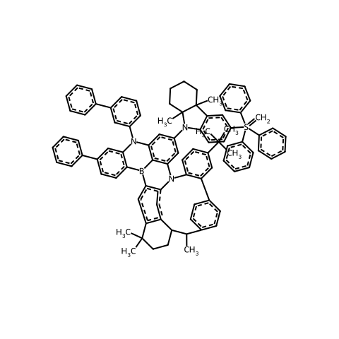 C=S(c1ccccc1)(c1ccccc1)(c1ccccc1)c1ccc2c(c1)C1(C)CCCCC1(C)N2c1cc2c3c(c1)N1c4cc5c(cc4B3c3ccc(-c4ccccc4)cc3N2c2cccc(-c3ccccc3)c2)C(C)(C)CCC5C(C)c2ccc(cc2)-c2cc(C(C)(C)C)ccc21